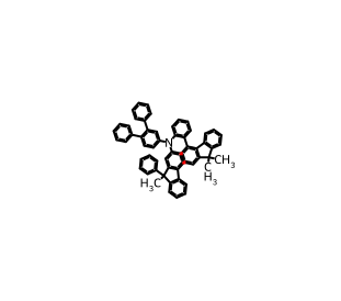 CC1(C)c2ccccc2-c2c(-c3ccccc3N(c3ccc(-c4ccccc4)c(-c4ccccc4)c3)c3ccc4c(c3)C(C)(c3ccccc3)c3ccccc3-4)cccc21